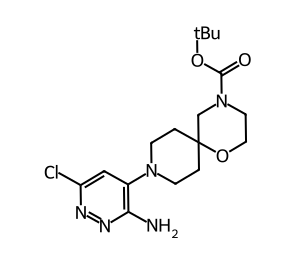 CC(C)(C)OC(=O)N1CCOC2(CCN(c3cc(Cl)nnc3N)CC2)C1